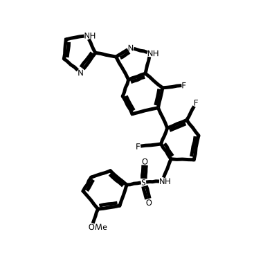 COc1cccc(S(=O)(=O)Nc2ccc(F)c(-c3ccc4c(-c5ncc[nH]5)n[nH]c4c3F)c2F)c1